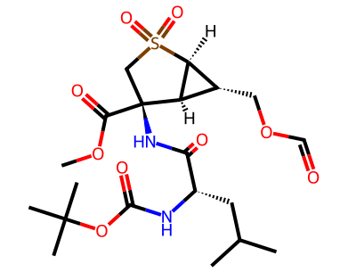 COC(=O)[C@]1(NC(=O)[C@H](CC(C)C)NC(=O)OC(C)(C)C)CS(=O)(=O)[C@H]2[C@H](COC=O)[C@H]21